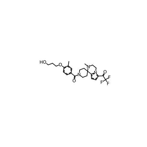 Cc1cc(C(=O)N2CCC3(CC2)c2ccc(C(=O)C(F)(F)F)n2CCN3C)ccc1OCCCO